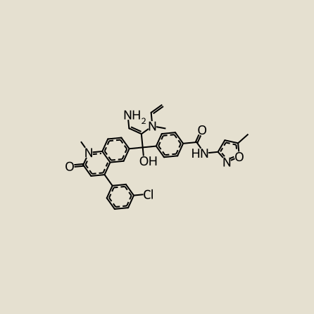 C=CN(C)/C(=C\N)C(O)(c1ccc(C(=O)Nc2cc(C)on2)cc1)c1ccc2c(c1)c(-c1cccc(Cl)c1)cc(=O)n2C